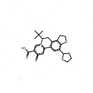 CC(C)(C)C1Cc2c(cc(C3CCCO3)c3c2CCO3)-c2cc(=O)c(C(=O)O)cn21